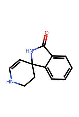 O=C1NC2(C=CNCC2)c2ccccc21